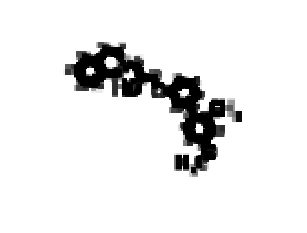 COc1ccc(-c2cccc(OCC(O)CN3CCc4ccccc4C3)c2)c(C)c1